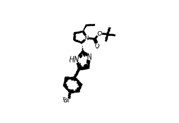 CC[C@@H]1CC[C@@H](c2ncc(-c3ccc(Br)cc3)[nH]2)N1C(=O)OC(C)(C)C